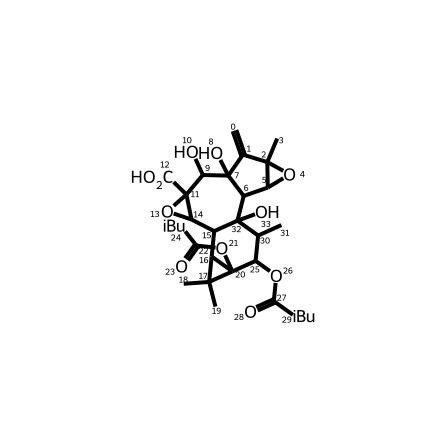 C=C1C2(C)OC2C2C1(O)C(O)C1(C(=O)O)OC1C1C3C(C)(C)C3(OC(=O)C(C)CC)C(OC(=O)C(C)CC)C(C)C12O